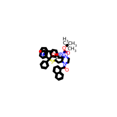 C[C@@H](CC1N(C(=O)c2cccc3ccccc23)CCNC1(CCOCc1cccnc1)NC(=O)OC(C)(C)C)SC(c1ccccc1)(c1ccccc1)c1ccccc1